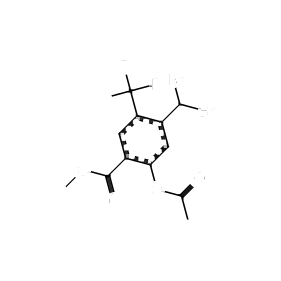 COC(=O)c1cc(C(F)(F)F)c(C(Br)Br)cc1OC(C)=O